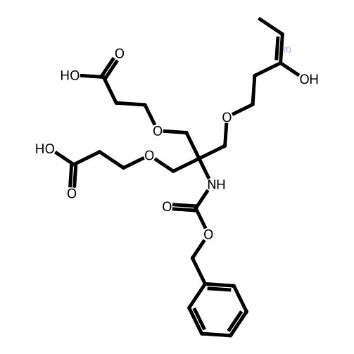 C/C=C(/O)CCOCC(COCCC(=O)O)(COCCC(=O)O)NC(=O)OCc1ccccc1